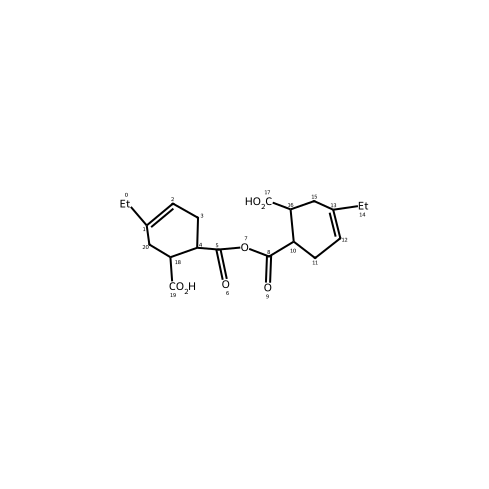 CCC1=CCC(C(=O)OC(=O)C2CC=C(CC)CC2C(=O)O)C(C(=O)O)C1